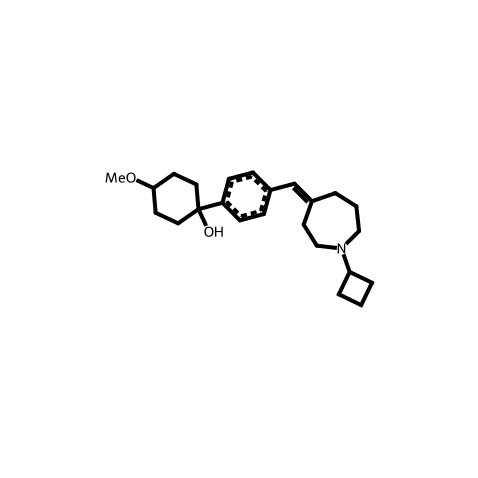 COC1CCC(O)(c2ccc(/C=C3/CCCN(C4CCC4)CC3)cc2)CC1